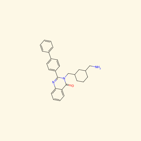 NCC1CCCC(Cn2c(-c3ccc(-c4ccccc4)cc3)nc3ccccc3c2=O)C1